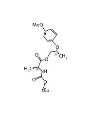 COc1ccc(O[C@@H](C)COC(=O)[C@H](C)NC(=O)OC(C)(C)C)cc1